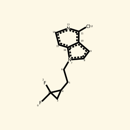 FC1(F)CC1CCn1ccc2c(Cl)nccc21